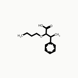 CCCCOC(C(=O)O)C(C)c1ccccc1